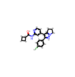 O=C(Nc1cc(-c2c(-c3ccc(F)cc3)nn3c2CCC3)ccn1)C1CCC1